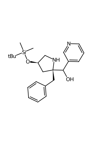 CC(C)(C)[Si](C)(C)O[C@H]1CN[C@](Cc2ccccc2)(C(O)c2cccnc2)C1